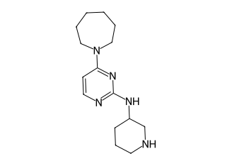 c1cc(N2CCCCCC2)nc(NC2CCCNC2)n1